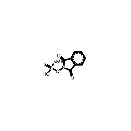 CSP(O)(=S)ON1C(=O)c2ccccc2C1=O